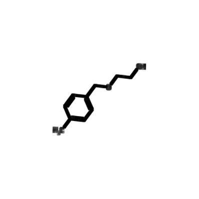 Cc1ccc(COCCO)cc1